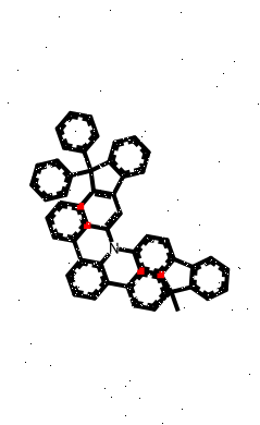 CC1(C)c2ccccc2-c2ccc(N(C3=CC4=C(CC3)C(c3ccccc3)(c3ccccc3)c3ccccc34)c3c(-c4ccccc4)cccc3-c3ccccc3)cc21